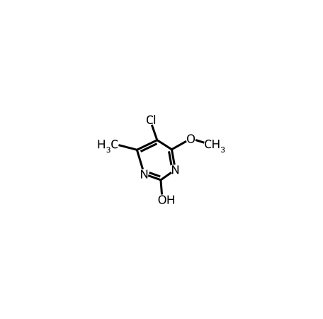 COc1nc(O)nc(C)c1Cl